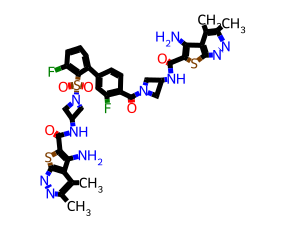 Cc1nnc2sc(C(=O)NC3CN(C(=O)c4ccc(-c5cccc(F)c5S(=O)(=O)N5CC(NC(=O)c6sc7nnc(C)c(C)c7c6N)C5)cc4F)C3)c(N)c2c1C